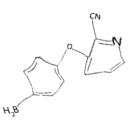 Bc1ccc(Oc2cccnc2C#N)cc1